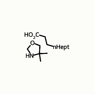 CC1(C)COCN1.CCCCCCCCCC(=O)O